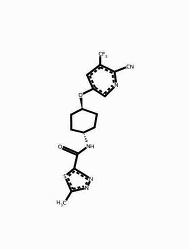 Cc1nnc(C(=O)N[C@H]2CC[C@H](Oc3cnc(C#N)c(C(F)(F)F)c3)CC2)s1